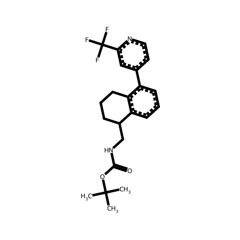 CC(C)(C)OC(=O)NCC1CCCc2c(-c3ccnc(C(F)(F)F)c3)cccc21